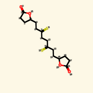 O=C1CCC(CCC(=S)CCC(=S)CCC2CCC(=O)O2)O1